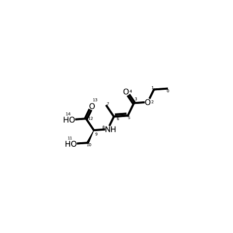 CCOC(=O)/C=C(\C)N[C@@H](CO)C(=O)O